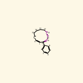 C1=CC(c2ccccc2)=PP=PCCCCC1